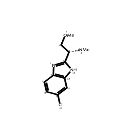 CN[C@@H](COC)c1nc2ccc(Cl)cc2[nH]1